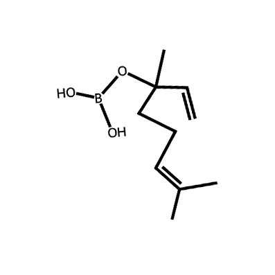 C=CC(C)(CCC=C(C)C)OB(O)O